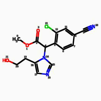 COC(=O)C(c1ccc(C#N)cc1Cl)n1cncc1CCO